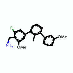 COc1cccc(-c2cccc(-c3cc(F)c(CN)c(OC)c3)c2C)c1